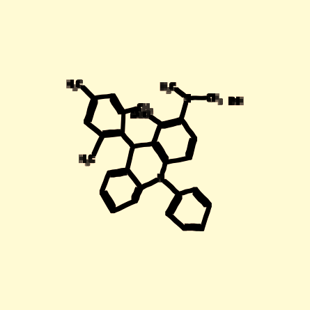 Br.COc1c(N(C)C)ccc2c1C(c1c(C)cc(C)cc1C)c1ccccc1N2c1ccccc1